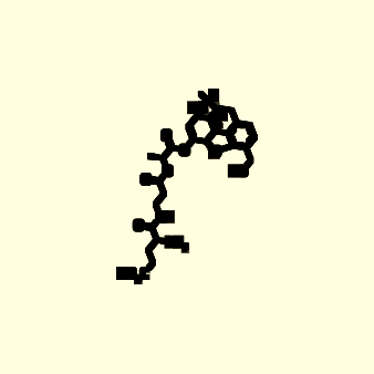 C[C@H](OC(=O)CCNC(=O)[C@@H](N)CCC(=O)O)C(=O)OC1=CC[C@@]2(O)[C@H]3Cc4ccc(CO)c5c4[C@@]2(CCN3C)[C@H]1O5